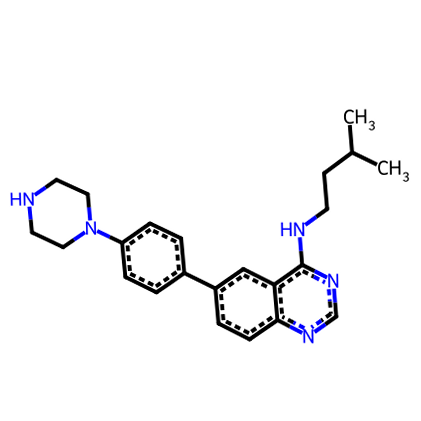 CC(C)CCNc1ncnc2ccc(-c3ccc(N4CCNCC4)cc3)cc12